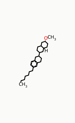 CCCCCCCc1ccc2c(c1)CCC(C1CCC3C[C@H](OC)CC[C@@H]3C1)C2